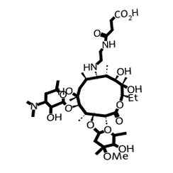 CC[C@H]1OC(=O)[C@H](C)[C@@H](OC2CC(C)(OC)C(O)C(C)O2)[C@H](C)[C@@H](OC2OC(C)CC(N(C)C)C2O)[C@](C)(O)C[C@@H](C)[C@H](NCCNC(=O)CCC(=O)O)[C@H](C)[C@@H](O)[C@]1(C)O